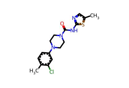 Cc1cnc(NC(=O)N2CCN(c3ccc(C)c(Cl)c3)CC2)s1